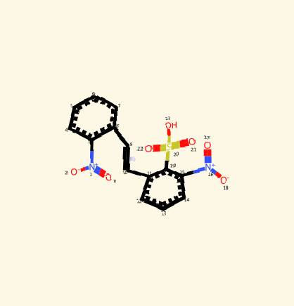 O=[N+]([O-])c1ccccc1/C=C/c1cccc([N+](=O)[O-])c1S(=O)(=O)O